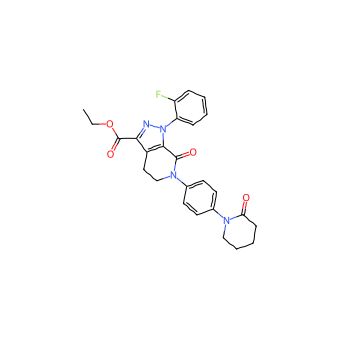 CCOC(=O)c1nn(-c2ccccc2F)c2c1CCN(c1ccc(N3CCCCC3=O)cc1)C2=O